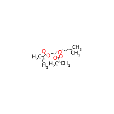 C=C(C)C(=O)OCC(COCCCC(C)C)OC(=O)C(=C)C